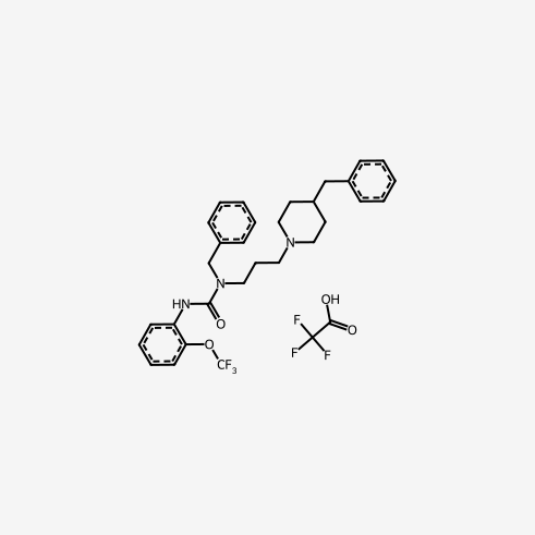 O=C(Nc1ccccc1OC(F)(F)F)N(CCCN1CCC(Cc2ccccc2)CC1)Cc1ccccc1.O=C(O)C(F)(F)F